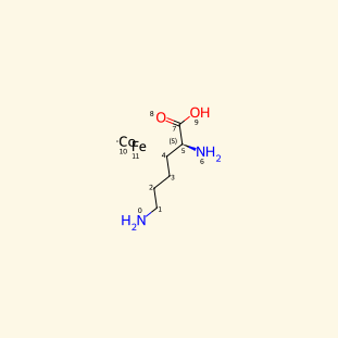 NCCCC[C@H](N)C(=O)O.[Co].[Fe]